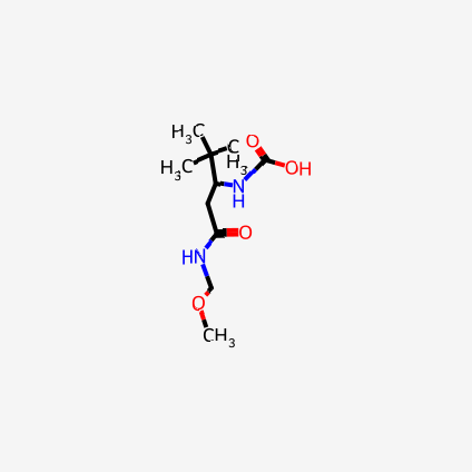 COCNC(=O)CC(NC(=O)O)C(C)(C)C